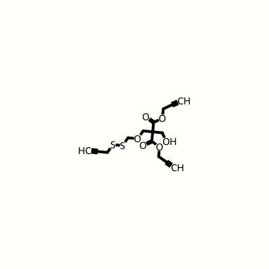 C#CCOC(=O)C(CO)(COCSSCC#C)C(=O)OCC#C